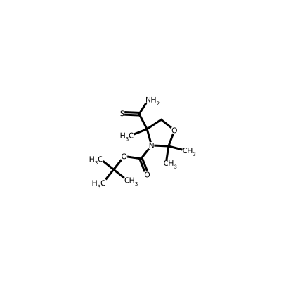 CC(C)(C)OC(=O)N1C(C)(C)OCC1(C)C(N)=S